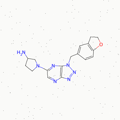 NC1CCN(c2cnc3nnn(Cc4ccc5c(c4)CCO5)c3n2)C1